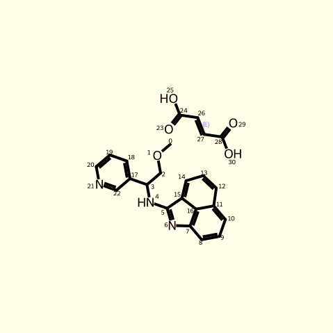 COCC(NC1=Nc2cccc3cccc1c23)c1cccnc1.O=C(O)/C=C/C(=O)O